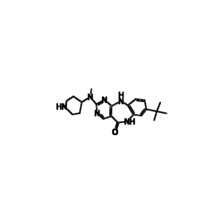 CN(c1ncc2c(n1)Nc1ccc(C(C)(C)C)cc1NC2=O)C1CCNCC1